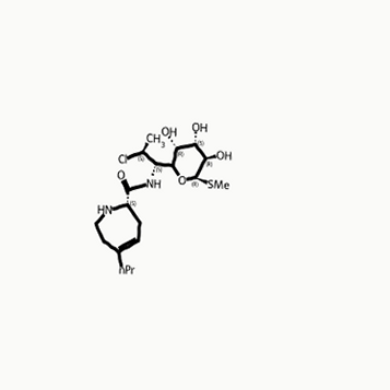 CCCC1=CC[C@@H](C(=O)N[C@@H](C2O[C@H](SC)[C@H](O)[C@@H](O)[C@H]2O)[C@H](C)Cl)NCC1